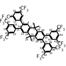 CC1(C)c2cc(-c3cc(C(F)(F)F)cc(C(F)(F)F)c3)c(-c3cc(C(F)(F)F)cc(C(F)(F)F)c3)cc2C(C)(C)c2cc(-c3cc(C(F)(F)F)cc(C(F)(F)F)c3)c(-c3cc(C(F)(F)F)cc(C(F)(F)F)c3)cc21